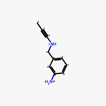 CC#CNCc1cccc(N)c1